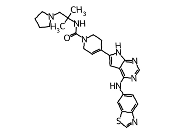 CC(C)(CN1CCCC1)NC(=O)N1CC=C(c2cc3c(Nc4ccc5ncsc5c4)ncnc3[nH]2)CC1